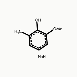 COc1cccc(C)c1O.[NaH]